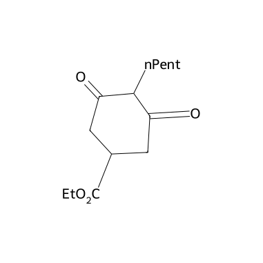 CCCCCC1C(=O)CC(C(=O)OCC)CC1=O